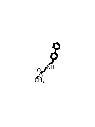 CCOC(=O)CCNCCc1ccc(-c2ccccc2)cc1